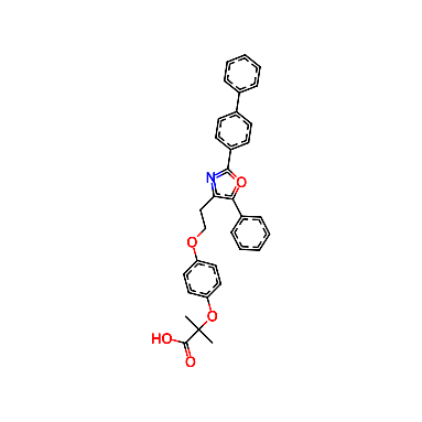 CC(C)(Oc1ccc(OCCc2nc(-c3ccc(-c4ccccc4)cc3)oc2-c2ccccc2)cc1)C(=O)O